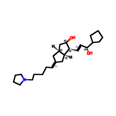 O[C@H](/C=C/[C@@H]1[C@H]2C/C(=C/CCCCN3CCCC3)C[C@H]2C[C@H]1O)C1CCCC1